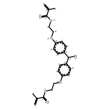 C=C(C)C(=O)OCCOc1ccc(C(CC)c2ccc(OCCOC(=O)C(=C)C)cc2)cc1